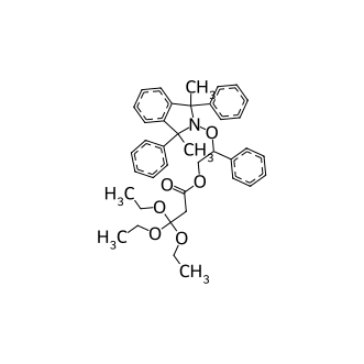 CCOC(CC(=O)OCC(ON1C(C)(c2ccccc2)c2ccccc2C1(C)c1ccccc1)c1ccccc1)(OCC)OCC